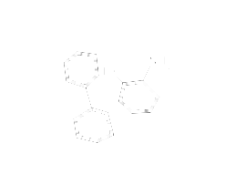 Nc1ccccc1O.c1ccc(-c2ccccc2)cc1